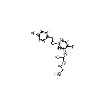 O=C(Nc1nc(OCc2ccc(F)cc2)ncc1F)OCCO